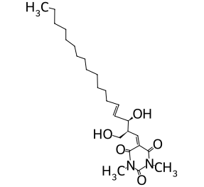 CCCCCCCCCCCCC/C=C/[C@@H](O)[C@@H](C=C1C(=O)N(C)C(=O)N(C)C1=O)CO